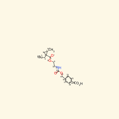 CC1CC1(CC(C)(C)C)C(=O)OCCNC(=O)OCc1ccc(C(=O)O)cc1